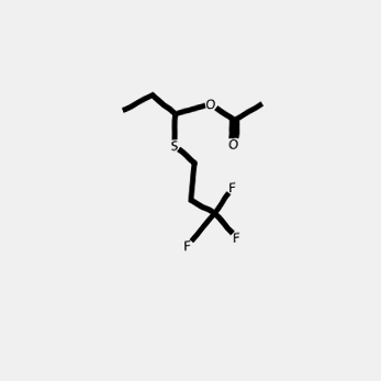 CCC(OC(C)=O)SCCC(F)(F)F